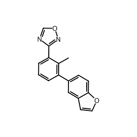 Cc1c(-c2ccc3occc3c2)cccc1-c1ncon1